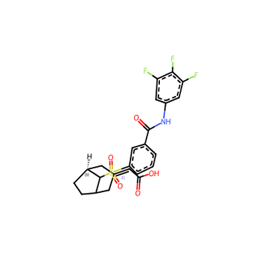 O=C(O)/C=C1\CC2CC[C@@H](C1)C2S(=O)(=O)c1cccc(C(=O)Nc2cc(F)c(F)c(F)c2)c1